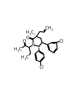 C=CC[C@@]1(C)CC(c2cccc(Cl)c2)[C@@H](c2ccc(Cl)cc2)N(C(CC)C(C)=O)C1=O